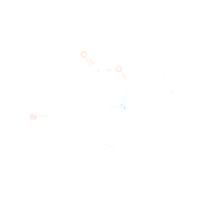 Cc1cc(Br)cc2c(=O)oc(C3CC3)nc12